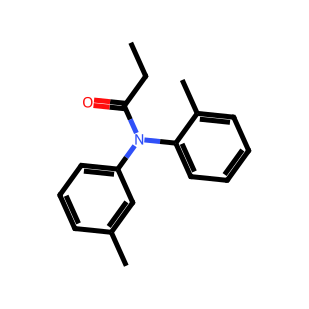 CCC(=O)N(c1cccc(C)c1)c1ccccc1C